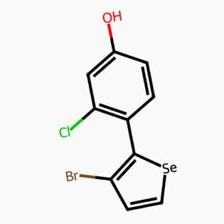 Oc1ccc(-c2[se]ccc2Br)c(Cl)c1